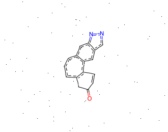 O=C1C=Cc2c(cccc3cc4nncc4cc23)C1